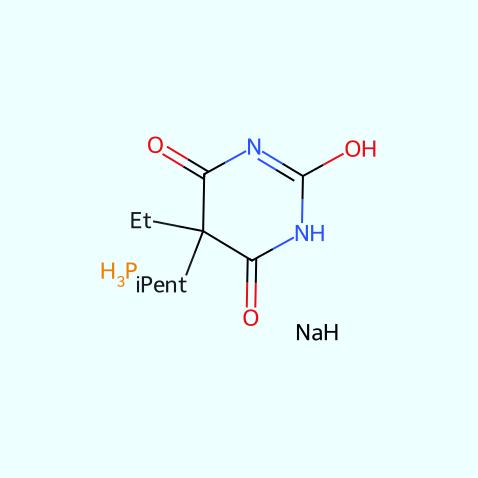 CCCC(C)C1(CC)C(=O)N=C(O)NC1=O.P.[NaH]